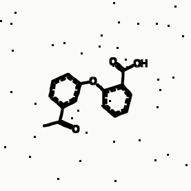 CC(=O)c1cccc(Oc2ccccc2C(=O)O)c1